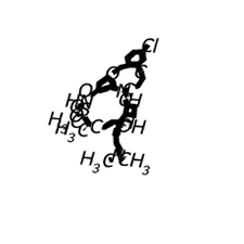 C[C@@H]1[C@@H](C)C/C=C/[C@](O)(C#CCCN(C)C)[C@@H]2CC[C@H]2CN2CCCCc3cc(Cl)ccc3COc3ccc(cc32)C(=O)NS1(=O)=O